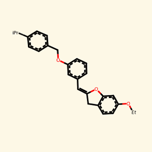 CCOc1ccc2c(c1)OC(=Cc1cccc(OCc3ccc(C(C)C)cc3)c1)C2